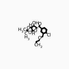 C=CCOCc1cc(C(=O)[C@@H]2O[C@H]3OC(C)(C)O[C@H]3[C@@H]2O)ccc1Cl